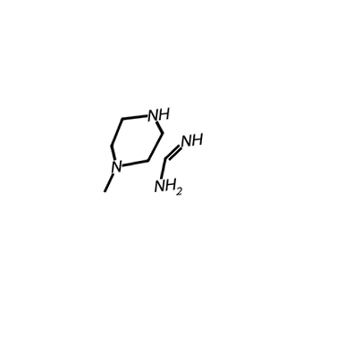 CN1CCNCC1.N=CN